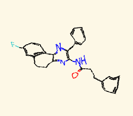 O=C(CCc1ccccc1)Nc1nc2c(nc1-c1ccccc1)-c1ccc(F)cc1CC2